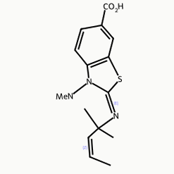 C/C=C\C(C)(C)/N=c1/sc2cc(C(=O)O)ccc2n1NC